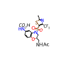 CC(=O)NCC1CN(S(=O)(=O)c2sc(C)nc2C(F)(F)F)c2cc(NC(=O)O)ccc2O1